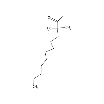 CCCCCCCCCC(C)(C)C(=O)I